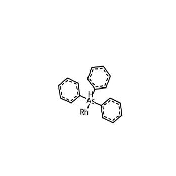 [Rh][AsH](c1ccccc1)(c1ccccc1)c1ccccc1